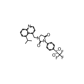 CC(C)c1cccc2nccc(CN3CC(=O)N(c4ccc(S(=O)(=O)C(F)(F)F)cc4)C3=O)c12